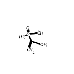 C=C(O)P(=O)(O)O